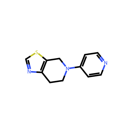 c1cc(N2CCc3ncsc3C2)ccn1